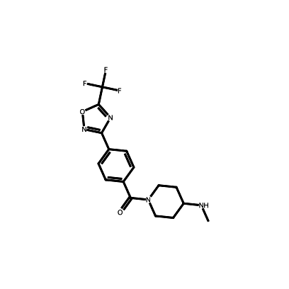 CNC1CCN(C(=O)c2ccc(-c3noc(C(F)(F)F)n3)cc2)CC1